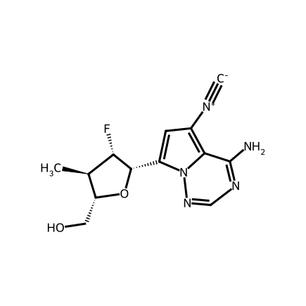 [C-]#[N+]c1cc([C@@H]2O[C@H](CO)[C@@H](C)[C@@H]2F)n2ncnc(N)c12